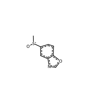 C[S+]([O-])c1ccc2ocnc2c1